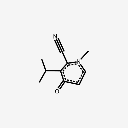 CC(C)c1c(C#N)n(C)ccc1=O